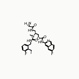 CN(C(=O)NCc1cccc(F)c1CI)[C@@H](CNC(=O)CN)COC(=O)Nc1cc2cc(F)ccc2cn1